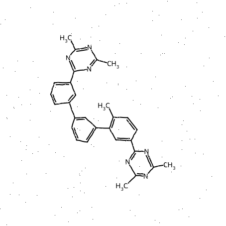 Cc1nc(C)nc(-c2cccc(-c3cccc(-c4cc(-c5nc(C)nc(C)n5)ccc4C)c3)c2)n1